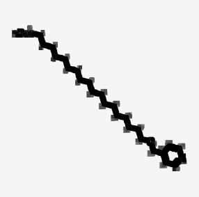 CCCCCCCCCCCCCCCCCCCCCCCCCCCCOCc1ccncc1